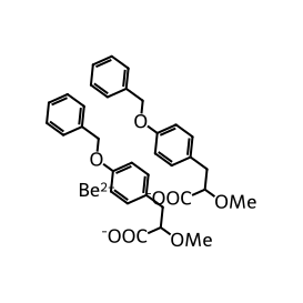 COC(Cc1ccc(OCc2ccccc2)cc1)C(=O)[O-].COC(Cc1ccc(OCc2ccccc2)cc1)C(=O)[O-].[Be+2]